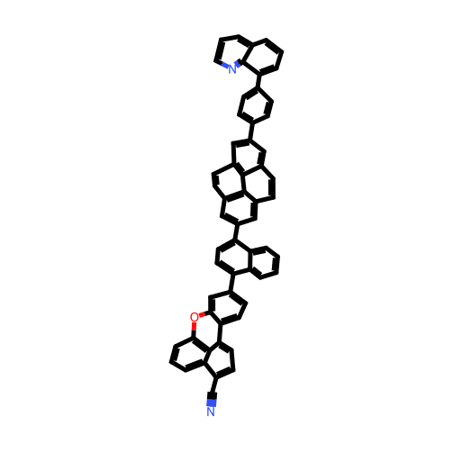 N#Cc1ccc2c3c(cccc13)Oc1cc(-c3ccc(-c4cc5ccc6cc(-c7ccc(-c8cccc9cccnc89)cc7)cc7ccc(c4)c5c67)c4ccccc34)ccc1-2